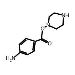 Nc1ccc(C(=O)ON2CCNCC2)cc1